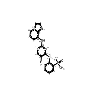 CP(C)(=O)c1ccccc1Nc1nc(Nc2cccn3ccnc23)ncc1Cl